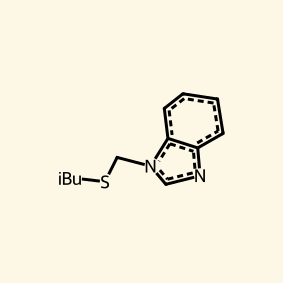 [CH2]C(CC)SCn1cnc2ccccc21